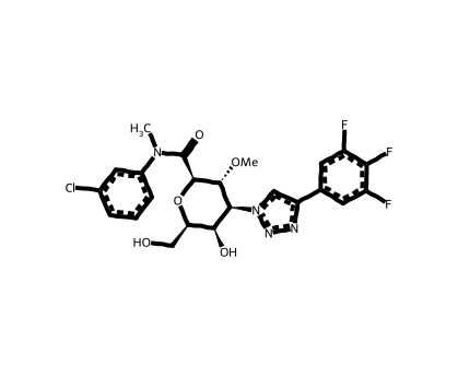 CO[C@@H]1[C@@H](n2cc(-c3cc(F)c(F)c(F)c3)nn2)[C@@H](O)[C@@H](CO)O[C@H]1C(=O)N(C)c1cccc(Cl)c1